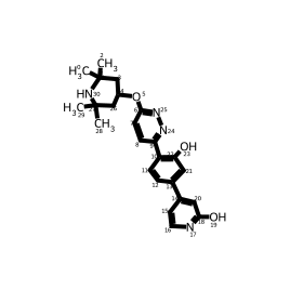 CC1(C)CC(Oc2ccc(-c3ccc(-c4ccnc(O)c4)cc3O)nn2)CC(C)(C)N1